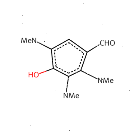 CNc1cc(C=O)c(NC)c(NC)c1O